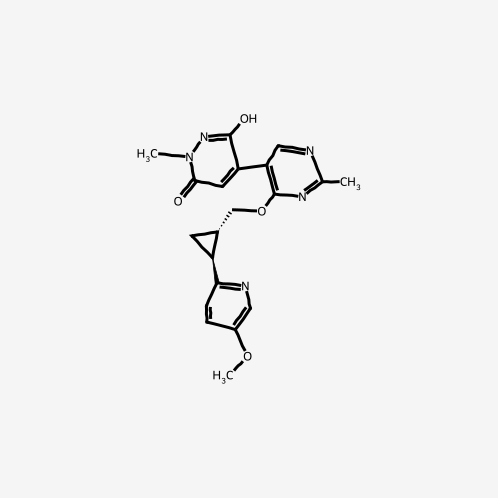 COc1ccc([C@H]2C[C@@H]2COc2nc(C)ncc2-c2cc(=O)n(C)nc2O)nc1